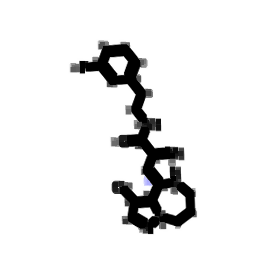 N=C(/C=C1\NCCCn2ncc(Cl)c21)C(=O)NCCc1cccc(F)c1